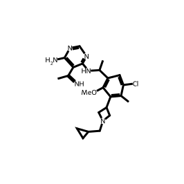 COc1c(C(C)Nc2ncnc(N)c2C(C)=N)cc(Cl)c(C)c1C1CN(CC2CC2)C1